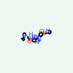 COc1c(NC(=O)/C=C/[C@H]2CCCN2C2CCC2)ccc2ncnc(Nc3ccc(OCc4ccccn4)c(Cl)c3)c12